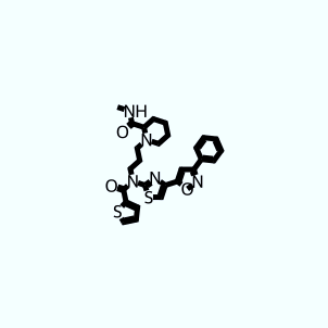 CNC(=O)C1CCCCN1CCCN(C(=O)c1cccs1)c1nc(-c2cc(-c3ccccc3)no2)cs1